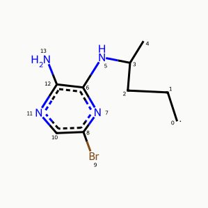 [CH2]CCC(C)Nc1nc(Br)cnc1N